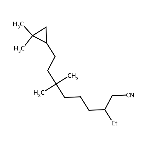 CCC(CC#N)CCCC(C)(C)CCC1CC1(C)C